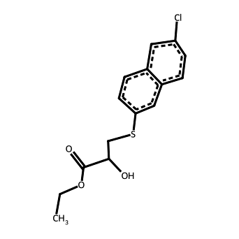 CCOC(=O)C(O)CSc1ccc2cc(Cl)ccc2c1